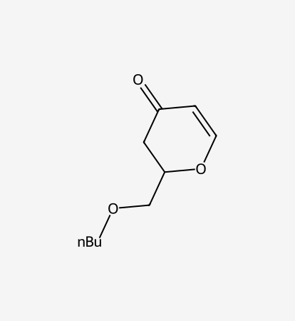 CCCCOCC1CC(=O)C=CO1